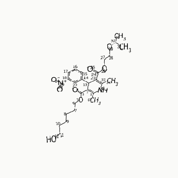 CC1=C(C(=O)OCCCCCCO)C(c2cccc([N+](=O)[O-])c2)C(C(=O)OCCOC(C)C)=C(C)N1